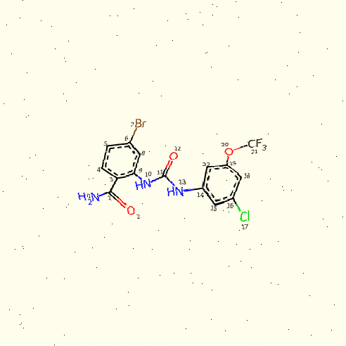 NC(=O)c1ccc(Br)cc1NC(=O)Nc1cc(Cl)cc(OC(F)(F)F)c1